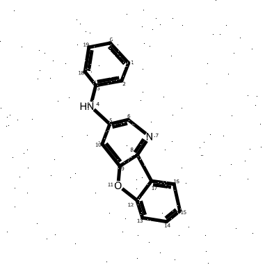 c1ccc(Nc2cnc3c(c2)oc2ccccc23)cc1